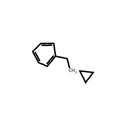 C1CC1.CCc1ccccc1